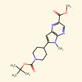 COC(=O)c1cnc2c(cc(C3CCN(C(=O)OC(C)(C)C)CC3)n2C)n1